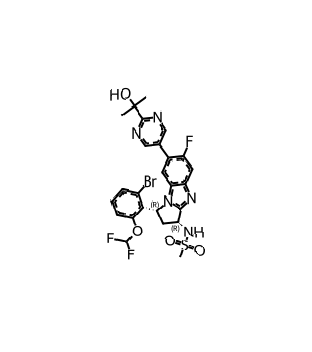 CC(C)(O)c1ncc(-c2cc3c(cc2F)nc2n3[C@@H](c3c(Br)cccc3OC(F)F)C[C@H]2NS(C)(=O)=O)cn1